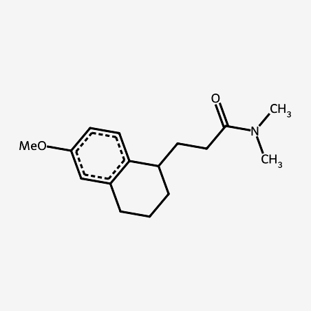 COc1ccc2c(c1)CCCC2CCC(=O)N(C)C